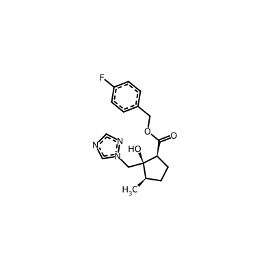 C[C@@H]1CC[C@H](C(=O)OCc2ccc(F)cc2)[C@@]1(O)Cn1cncn1